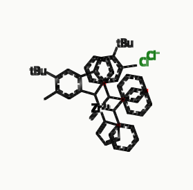 [CH2]=[Zr+2]([C]1=CC=CC1)([CH](c1ccccc1)c1ccccc1)([CH](c1ccccc1)c1ccccc1)[CH]1c2cc(C)c(C(C)(C)C)cc2-c2cc(C(C)(C)C)c(C)cc21.[Cl-].[Cl-]